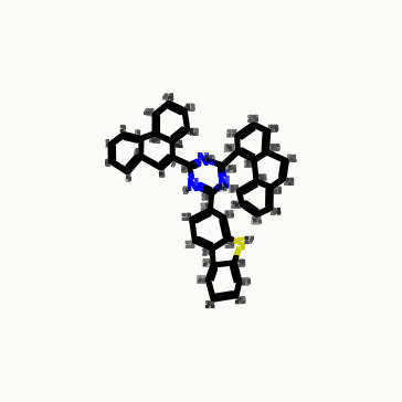 c1ccc2c(c1)cc(-c1nc(-c3ccc4c(c3)sc3ccccc34)nc(-c3cccc4ccc5ccccc5c34)n1)c1ccccc12